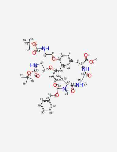 COC(=O)[C@@H]1Cc2ccc(OCCNC(=O)OC(C)(C)C)c(c2)-c2cc(ccc2OCCNC(=O)OC(C)(C)C)[C@H](N(C)C(=O)OCc2ccccc2)C(=O)N[C@@H](C)C(=O)N1